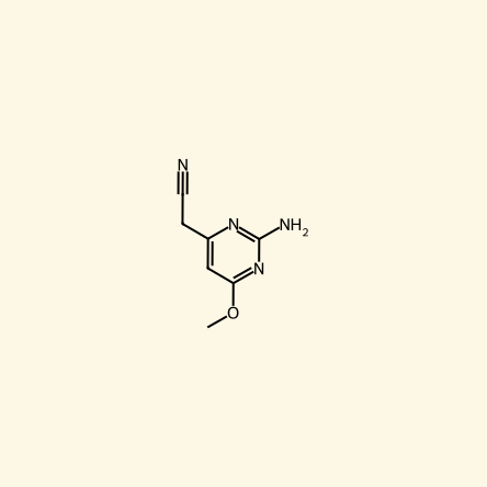 COc1cc(CC#N)nc(N)n1